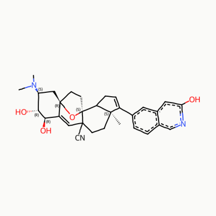 CN(C)[C@H]1C[C@@]23CC[C@]4(O2)C2CC=C(c5ccc6cnc(O)cc6c5)[C@@]2(C)CCC4(C#N)C=C3[C@@H](O)[C@@H]1O